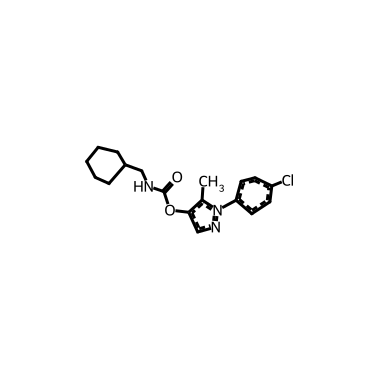 Cc1c(OC(=O)NCC2CCCCC2)cnn1-c1ccc(Cl)cc1